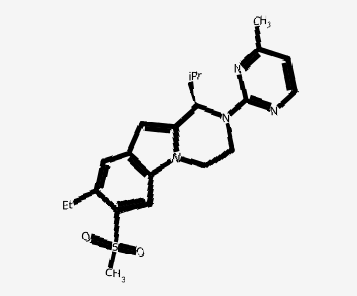 CCc1cc2cc3n(c2cc1S(C)(=O)=O)CCN(c1nccc(C)n1)[C@@H]3C(C)C